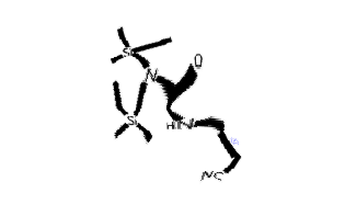 C[Si](C)(C)N(C(=O)N/C=C\C#N)[Si](C)(C)C